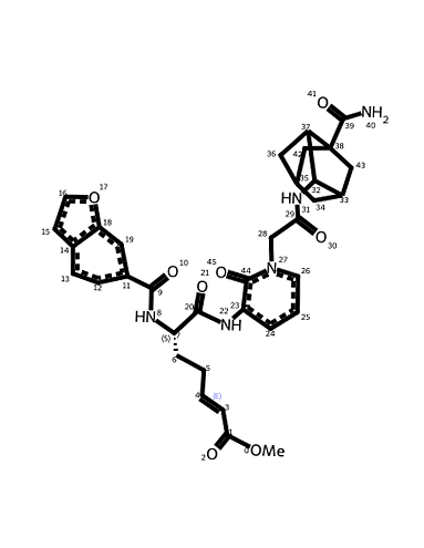 COC(=O)/C=C/CC[C@H](NC(=O)c1ccc2ccoc2c1)C(=O)Nc1cccn(CC(=O)NC2C3CC4CC2C(C(N)=O)(C4)C3)c1=O